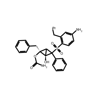 CC(C)Cc1cc(N)ccc1S(=O)(=O)C1(c2ccccc2)C2[C@](Cc3ccccc3)(OC(N)=O)[C@]21O